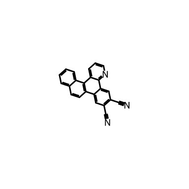 N#Cc1cc2c(cc1C#N)c1ncccc1c1c3ccccc3ccc21